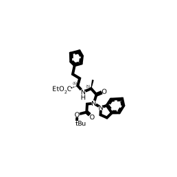 CCOC(=O)[C@H](CCc1ccccc1)N[C@@H](C)C(=O)N(CC(=O)OC(C)(C)C)N1CCc2ccccc21